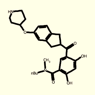 CCCCN(C)C(=O)c1cc(C(=O)C2Cc3ccc(OC4CCNCC4)cc3C2)c(O)cc1O